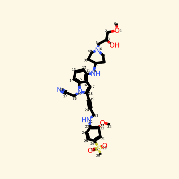 COCC(O)CN1CCC(Nc2cccc3c2cc(C#CCNc2ccc(S(C)(=O)=O)cc2OC)n3CC#N)CC1